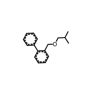 CC(C)COCc1ccccc1-c1ccccc1